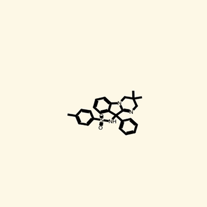 Cc1ccc(S(=O)(=O)NC2(c3ccccc3)C3=NCC(C)(C)CN3c3ccccc32)cc1